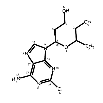 CC(CO)O[C@H](CCO)n1cnc2c(N)nc(Cl)nc21